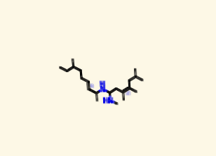 CCC(C)CC/C=C/C(C)NC(C/C(C)=C(/C)CC(C)C)NC